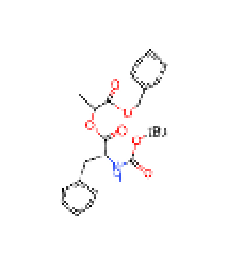 CC(OC(=O)C(Cc1ccccc1)NC(=O)OC(C)(C)C)C(=O)OCc1ccccc1